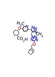 Cc1nc(-c2nnn(C)c2Cn2nnc(OCC3CC4CCC3C4)n2)ccc1O[C@H]1CCC[C@H](C(=O)O)C1